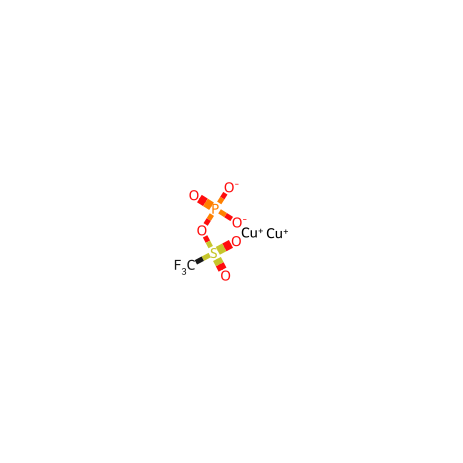 O=P([O-])([O-])OS(=O)(=O)C(F)(F)F.[Cu+].[Cu+]